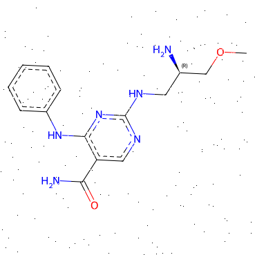 COC[C@H](N)CNc1ncc(C(N)=O)c(Nc2ccccc2)n1